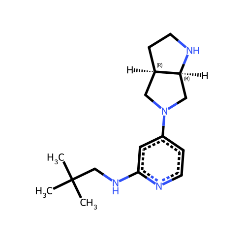 CC(C)(C)CNc1cc(N2C[C@H]3CCN[C@H]3C2)ccn1